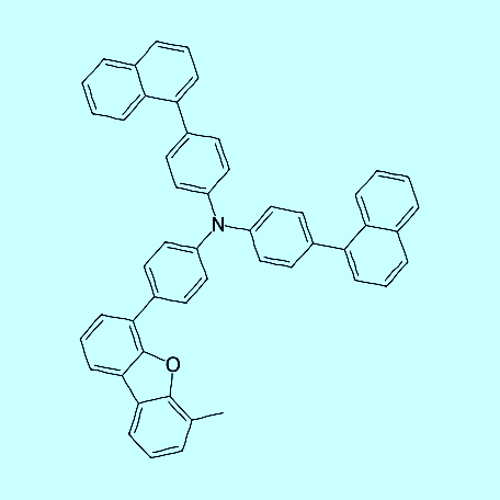 Cc1cccc2c1oc1c(-c3ccc(N(c4ccc(-c5cccc6ccccc56)cc4)c4ccc(-c5cccc6ccccc56)cc4)cc3)cccc12